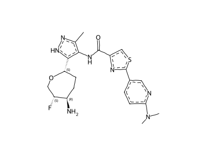 Cc1n[nH]c([C@@H]2CC[C@@H](N)[C@H](F)CO2)c1NC(=O)c1csc(-c2ccc(N(C)C)nc2)n1